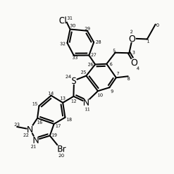 CCOC(=O)Cc1c(C)cc2nc(-c3ccc4c(c3)c(Br)nn4C)sc2c1-c1ccc(Cl)cc1